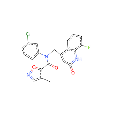 Cc1cnoc1C(=O)N(Cc1cc(=O)[nH]c2c(F)cccc12)c1cccc(Cl)c1